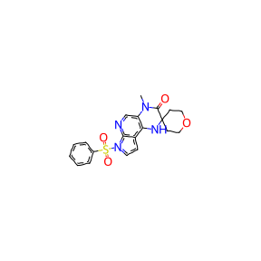 CN1C(=O)C2(CCOCC2)Nc2c1cnc1c2ccn1S(=O)(=O)c1ccccc1